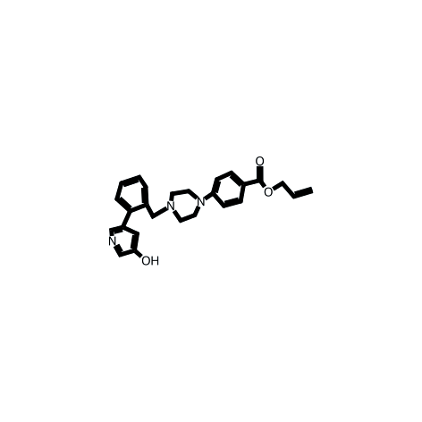 C=CCOC(=O)c1ccc(N2CCN(Cc3ccccc3-c3cncc(O)c3)CC2)cc1